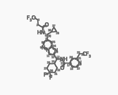 O=C(CCC(F)(F)F)N[C@@H](c1cnn2cc([C@@H](NC(=O)c3ccnc(CC(F)(F)F)c3)C3CCC(F)(F)CC3)nc2c1)C1CC1